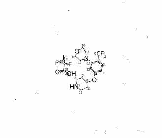 FC(F)(F)c1ccc(OC2CCNCC2)cc1N1CCOCC1.O=C(O)C(F)(F)F